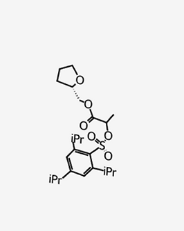 CC(OS(=O)(=O)c1c(C(C)C)cc(C(C)C)cc1C(C)C)C(=O)OC[C@@H]1CCCO1